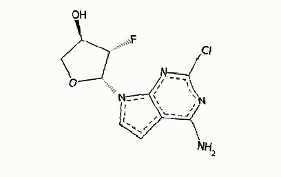 Nc1nc(Cl)nc2c1ccn2[C@@H]1OC[C@@H](O)[C@@H]1F